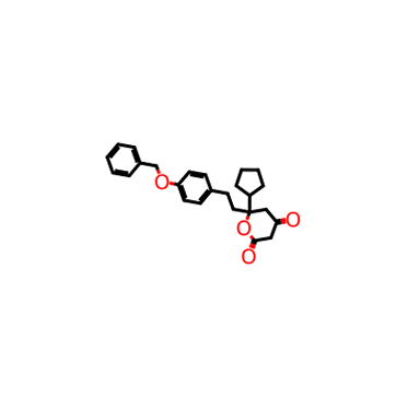 O=C1CC(=O)OC(CCc2ccc(OCc3ccccc3)cc2)(C2CCCC2)C1